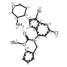 CC(C)(C)OC(=O)N(Cc1cccs1)c1cc(Cl)nc2c(Br)c([C@H]3CCOC[C@@H]3N)sc12